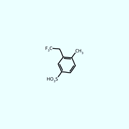 Cc1ccc(S(=O)(=O)O)cc1CC(F)(F)F